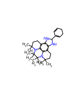 CC1(C)CCc2c3c(c4c5c2N1C(C)(C)C(C)(C)N5C(C)(C)CC4)NC(C1=CCCC=C1)N3